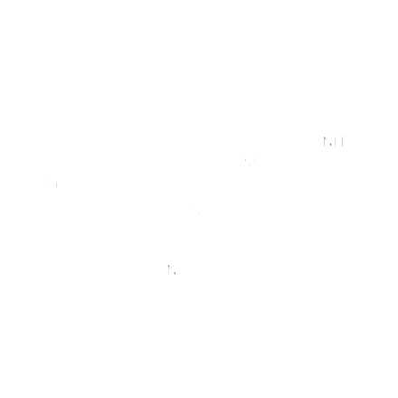 COc1c(N)cccc1-c1cnc(C2CCOCC2)s1